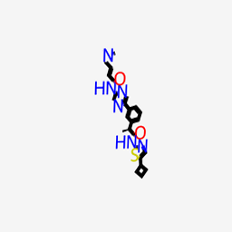 C[C@H](C(=O)Nc1ncc(C2CCC2)s1)c1cccc(-c2cnc(NC(=O)/C=C/CN(C)C)cn2)c1